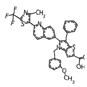 COc1cccc(Cn2c(-c3ccc4nc(-c5sc(C(F)(F)F)nc5C)ccc4c3)c(-c3ccccc3)c3sc(C(=O)O)cc32)c1